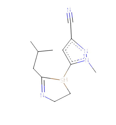 CC(C)CC1=NCC[SH]1c1cc(C#N)nn1C